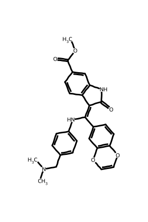 COC(=O)c1ccc2c(c1)NC(=O)C2=C(Nc1ccc(CN(C)C)cc1)c1ccc2c(c1)OC=CO2